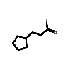 O=C(I)CCC1CCCC1